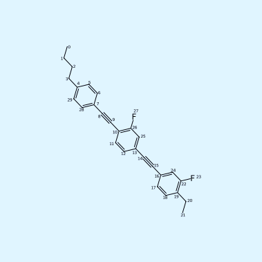 CCCCc1ccc(C#Cc2ccc(C#Cc3ccc(CC)c(F)c3)cc2F)cc1